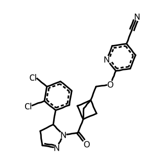 N#Cc1ccc(OCC23CC(C(=O)N4N=CCC4c4cccc(Cl)c4Cl)(C2)C3)nc1